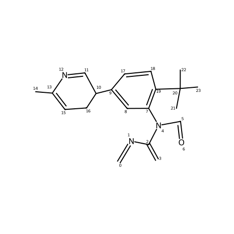 C=NC(=C)N(C=O)c1cc(C2C=NC(C)=CC2)ccc1C(C)(C)C